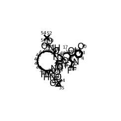 COc1ccc2nc(C(F)(F)F)c3c(c2c1)[C@](C)(O)C[C@]1(C[C@H]2C(=O)N[C@]4(C(=O)NS(=O)(=O)C5(C)CC5)C[C@H]4/C=C\CCCCC[C@H](NC(=O)OC(C)(C)C)C(=O)N2C1)O3